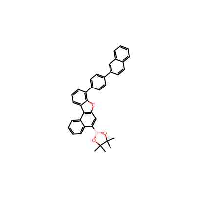 CC1(C)OB(c2cc3oc4c(-c5ccc(-c6ccc7ccccc7c6)cc5)cccc4c3c3ccccc23)OC1(C)C